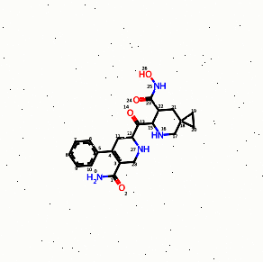 NC(=O)C1=C(c2ccccc2)CC(C(=O)C2NCC3(CC3)CC2C(=O)NO)NC1